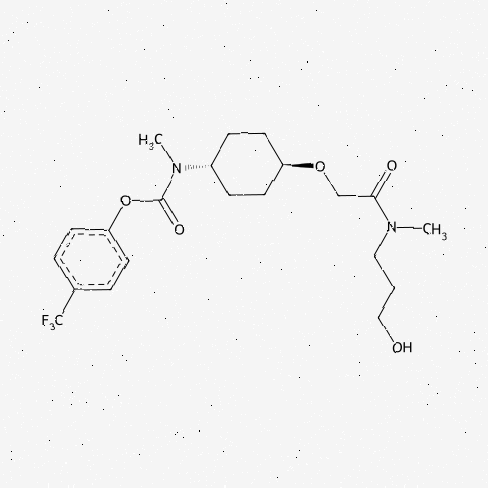 CN(CCCO)C(=O)CO[C@H]1CC[C@H](N(C)C(=O)Oc2ccc(C(F)(F)F)cc2)CC1